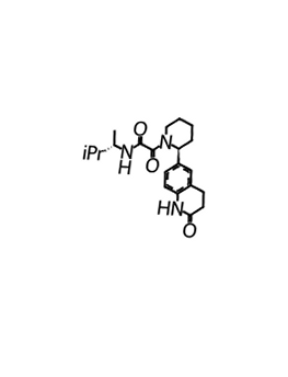 CC(C)[C@H](C)NC(=O)C(=O)N1CCCC[C@H]1c1ccc2c(c1)CCC(=O)N2